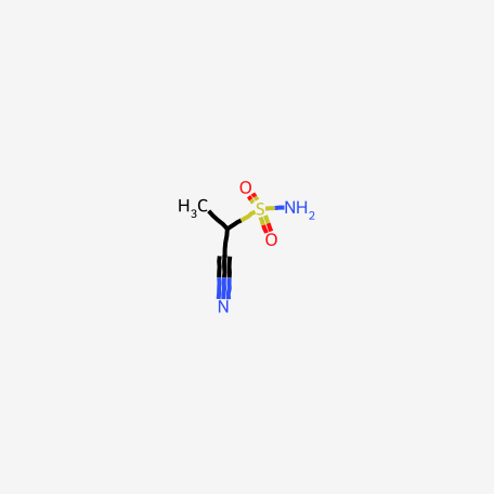 CC(C#N)S(N)(=O)=O